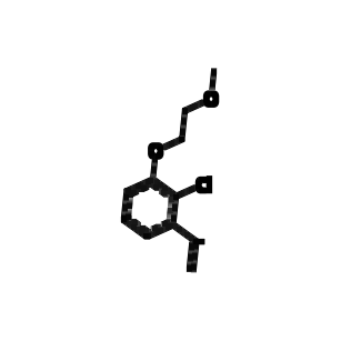 C=[C]c1cccc(OCCOC)c1Cl